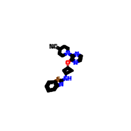 N#CC1CCN(c2nccnc2O[C@H]2C[C@H](Nc3nc4ccccc4s3)C2)CC1